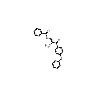 C/C(=C\OC(=O)c1ccccc1)C(=O)c1ccc(Sc2ccccc2)cc1